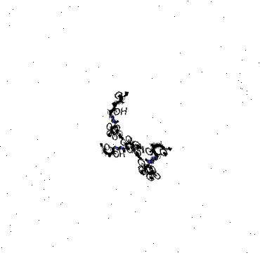 CC[C@H](OC)[C@@H](C)[C@H]1CC1[C@H](O)[C@@H](C)/C=C/C=C(\C)[C@H]1O[C@H](OCCO[C@H]2[C@H](OC)[C@@H](OC)[C@H](OC)O[C@@H]2/C(C)=C/C=C/[C@H](C)[C@@H](O)C2C[C@@H]2[C@H](C)[C@H](CC)OC)[C@H](OC)[C@@H](OC)[C@H]1OCCO[C@H]1O[C@H](/C(C)=C/C=C/[C@H](C)[C@@H](O)C2C[C@@H]2[C@H](C)[C@H](CC)OC)[C@@H](OC)[C@H](OC)[C@H]1OC